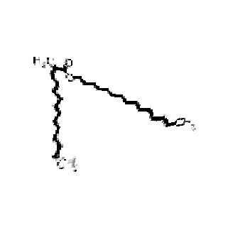 C=C(CCCCCCCCCCCC)C(=O)OCCCCCCCCCCCCCCC